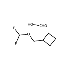 FC(F)OCC1CCC1.O=CO